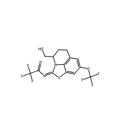 O=C(/N=c1/sc2cc(OC(F)(F)F)cc3c2n1C(CO)CC3)C(F)(F)F